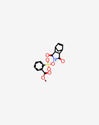 COC(=O)c1ccccc1S(=O)(=O)ON1C(=O)C2C3C=CC(C3)C2C1=O